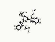 CCCCn1c(-c2cccc(-c3nc4ccccc4n3CCCC)n2)nc2ccccc21.[Cl-].[Cl-].[Co+2]